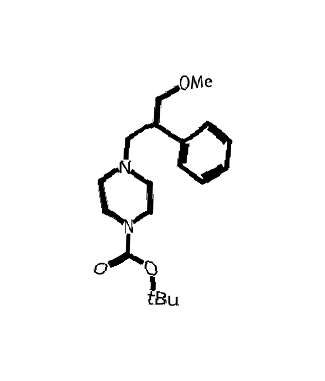 COCC(CN1CCN(C(=O)OC(C)(C)C)CC1)c1ccccc1